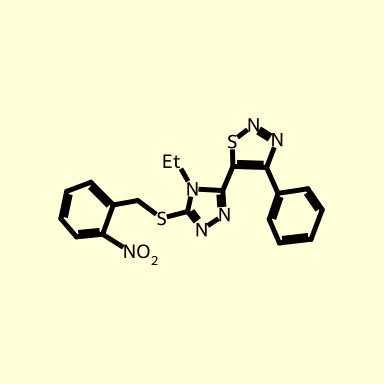 CCn1c(SCc2ccccc2[N+](=O)[O-])nnc1-c1snnc1-c1ccccc1